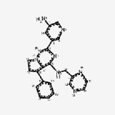 Nc1cncc(-c2nc(NCc3cnccn3)c3c(-c4ccccc4)ccn3n2)c1